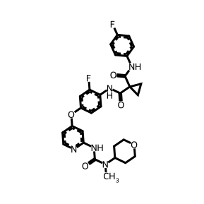 CN(C(=O)Nc1cc(Oc2ccc(NC(=O)C3(C(=O)Nc4ccc(F)cc4)CC3)c(F)c2)ccn1)C1CCOCC1